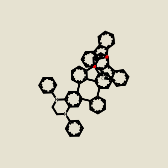 c1ccc(N2CCN(c3ccccc3)c3cc4c(cc32)-c2ccccc2-c2cccc(-c3cccc5c3oc3ccccc35)c2-c2c-4cccc2-c2cccc3c2oc2ccccc23)cc1